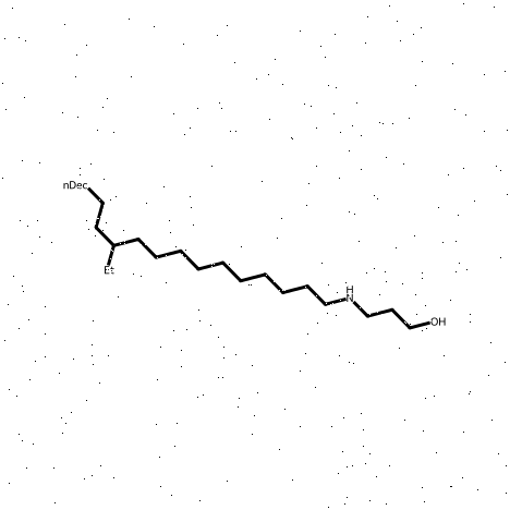 CCCCCCCCCCCCC(CC)CCCCCCCCCCNCCCO